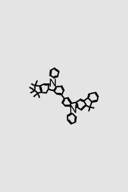 CC1(C)c2ccccc2-c2cc3c4cc(-c5ccc6c(c5)C5CC7=C(C=C5N6c5ccccc5)C(C)(C)C(C)(C)C7(C)C)ccc4n(-c4ccccc4)c3cc21